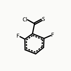 Fc1cccc(F)c1C(=S)Cl